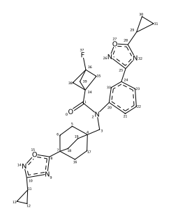 O=C(N(CC12CCC(c3nc(C4CC4)no3)(CC1)CC2)c1cccc(-c2noc(C3CC3)n2)c1)C12CC(F)(C1)C2